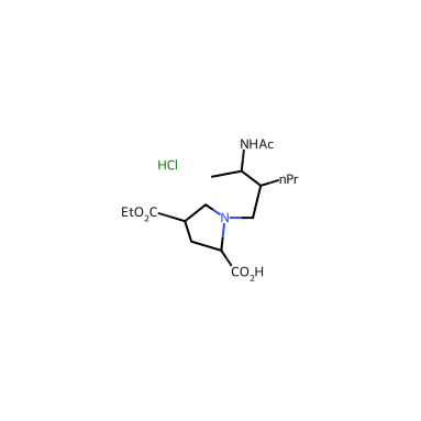 CCCC(CN1CC(C(=O)OCC)CC1C(=O)O)C(C)NC(C)=O.Cl